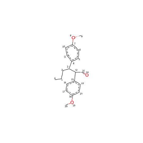 CCCC(c1ccc(OC)cc1)C(C=O)c1ccc(OC)cc1